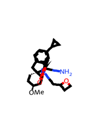 CO[C@H]1CC[C@]2(CC1)Cc1ccc(C3CC3)cc1[C@]21N=C(N)N(CC2CCO2)C1=O